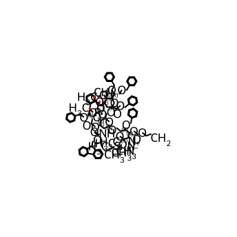 C=CCOC(=O)O[C@@H]1C(N=[N+]=[N-])[C@H](O[Si](C)(C)C(C)(C)C(C)C)OC(CO[C@@H]2OC(CO[C@]3(C(=O)OCc4ccccc4)C[C@H]4OC(C)(C)O[C@H]4C([C@@H](COCc4ccccc4)OCc4ccccc4)O3)[C@@H](OP3(=O)OCc4ccccc4CO3)[C@H](OC(=O)C[C@@H](CC)OCc3ccccc3)C2NC(=O)OCC2c3ccccc3-c3ccccc32)[C@H]1OCc1ccccc1